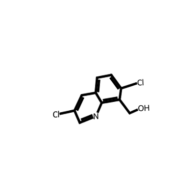 OCc1c(Cl)ccc2cc(Cl)cnc12